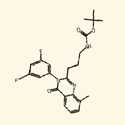 Cc1cccc2c(=O)n(-c3cc(F)cc(F)c3)c(CCCNC(=O)OC(C)(C)C)nc12